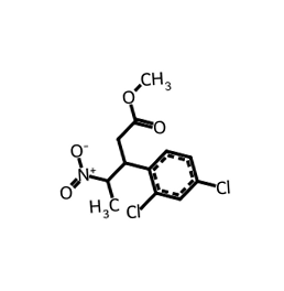 COC(=O)CC(c1ccc(Cl)cc1Cl)C(C)[N+](=O)[O-]